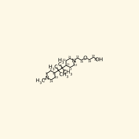 CN1CCC(C(C)(C)C(C)(C)C2CCN(CCOCCO)CC2)CC1